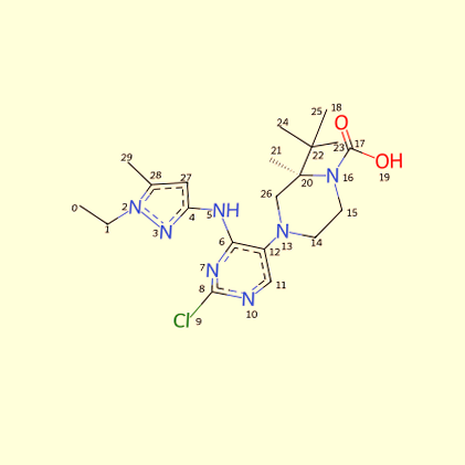 CCn1nc(Nc2nc(Cl)ncc2N2CCN(C(=O)O)[C@](C)(C(C)(C)C)C2)cc1C